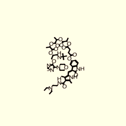 CCN(CC)CCNC(=O)c1c(C)[nH]c(/C=C2\C(=O)Nc3ccc(OC(=O)CCC(=O)OC(C)C(=O)OC(C)C(=O)OC(C)C(=O)OC(CNC(C)(C)C)COc4nsnc4N4CCOCC4)cc32)c1C